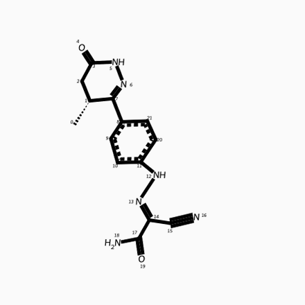 C[C@@H]1CC(=O)NN=C1c1ccc(N/N=C(\C#N)C(N)=O)cc1